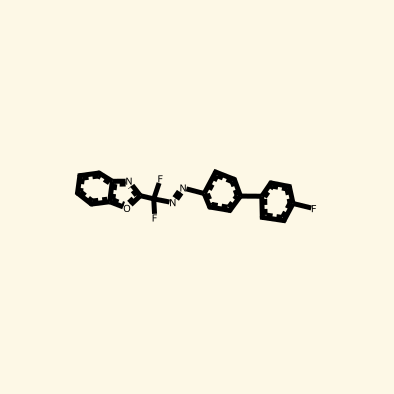 Fc1ccc(-c2ccc(N=NC(F)(F)c3nc4ccccc4o3)cc2)cc1